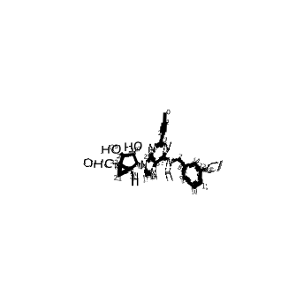 CC#Cc1nc(NCc2cccc(Cl)c2)c2ncn([C@@H]3[C@H]4C[C@@]4(C=O)C(O)[C@@H]3O)c2n1